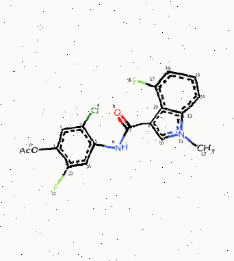 CC(=O)Oc1cc(Cl)c(NC(=O)c2cn(C)c3cccc(F)c23)cc1F